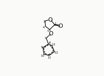 O=C1OCCC1OCc1ccccc1